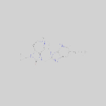 CC(C)CCn1c(Cn2c(=O)n(C3CC3)c3ccncc32)nc2cc(C(=O)O)cnc21